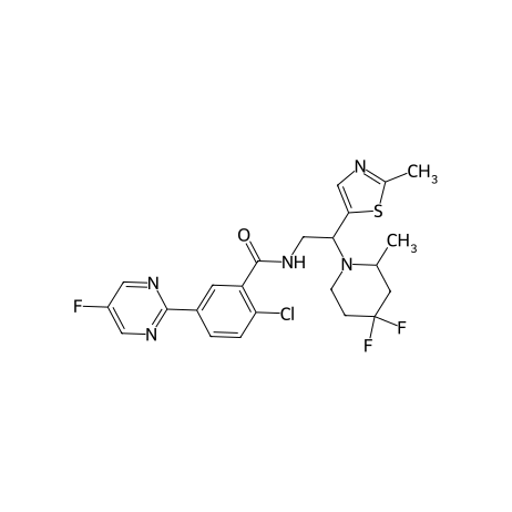 Cc1ncc(C(CNC(=O)c2cc(-c3ncc(F)cn3)ccc2Cl)N2CCC(F)(F)CC2C)s1